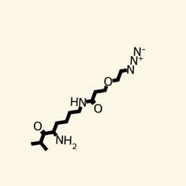 CC(C)C(=O)C(N)CCCCNC(=O)CCOCCN=[N+]=[N-]